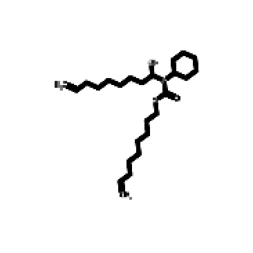 C=CCCCCCCCOC(=O)N(C(O)CCCCCCC=C)C1CCCCC1